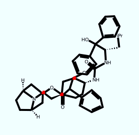 CC(C)C[C@H](NC(=O)N[C@H]1CC[C@H](CCN2[C@@H]3CC[C@H]2CC(OC(=O)C(CO)c2ccccc2)C3)CC1)C(O)(c1ccccc1)c1ccccc1